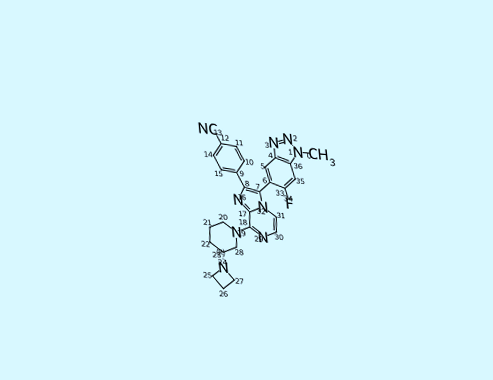 Cn1nnc2cc(-c3c(-c4ccc(C#N)cc4)nc4c(N5CCC[C@@H](N6CCC6)C5)nccn34)c(F)cc21